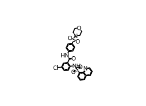 O=C(Nc1ccc(S(=O)(=O)N2CCOCC2)cc1)c1cc(Cl)ccc1NS(=O)(=O)c1cccc2cccnc12